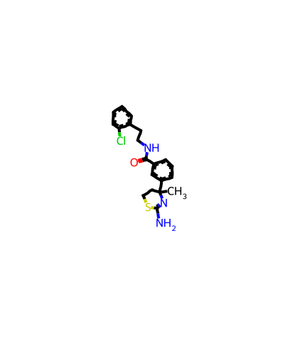 CC1(c2cccc(C(=O)NCCc3ccccc3Cl)c2)CCSC(N)=N1